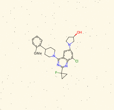 COc1ccccc1C1CCN(c2nc(C3(F)CC3)nc3c(Cl)cc(N4CC[C@@H](O)C4)cc23)CC1